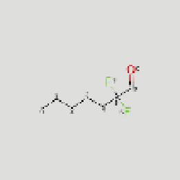 CCCCCC(F)(F)[C]=O